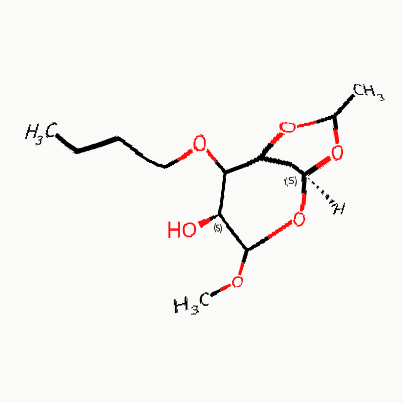 CCCCOC1C2OC(C)O[C@H]2OC(OC)[C@H]1O